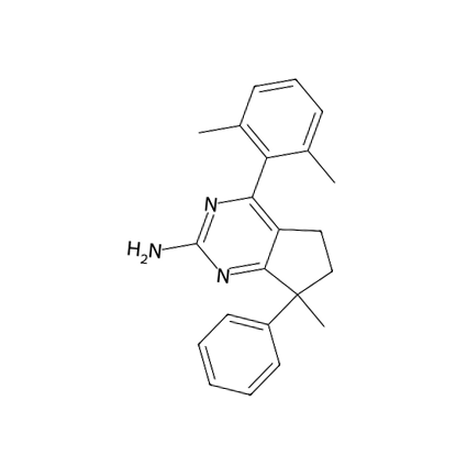 Cc1cccc(C)c1-c1nc(N)nc2c1CCC2(C)c1ccccc1